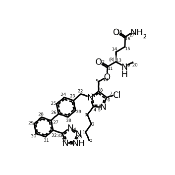 CCCCc1nc(Cl)c(COC(=O)[C@@H](CCC(N)=O)NC)n1Cc1ccc(-c2ccccc2-c2nn[nH]n2)cc1